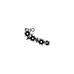 Cc1cc(/N=N/c2ccc(N3CCCC3)cc2)ccc1N(C)c1ccc(C=O)cc1